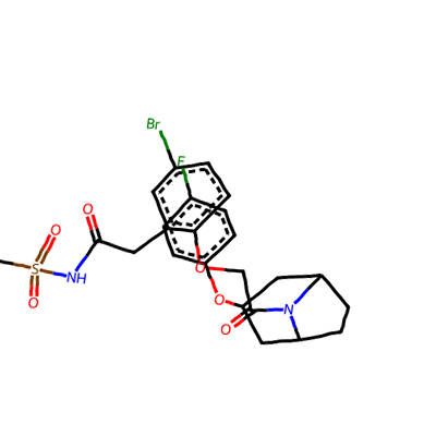 CS(=O)(=O)NC(=O)Cc1cc(Br)ccc1OCC(=O)N1C2CCC1CC(Oc1ccc(F)cc1)C2